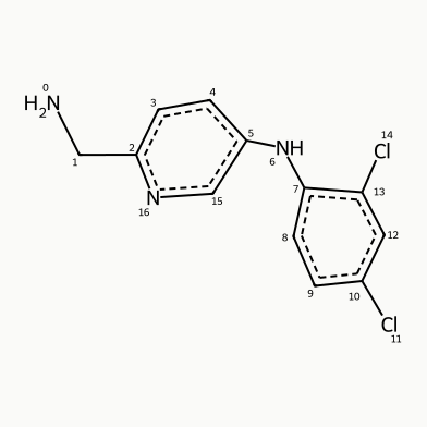 NCc1ccc(Nc2ccc(Cl)cc2Cl)cn1